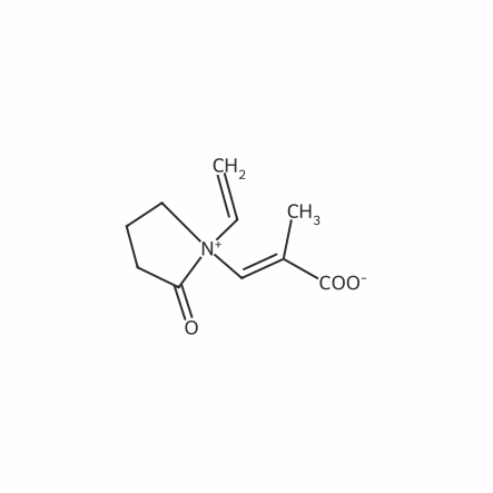 C=C[N+]1(C=C(C)C(=O)[O-])CCCC1=O